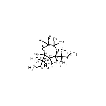 CCC(C)(C)C1(F)OC(F)(F)C(F)(F)OC(F)(C(C)(C)CC)C1(F)F